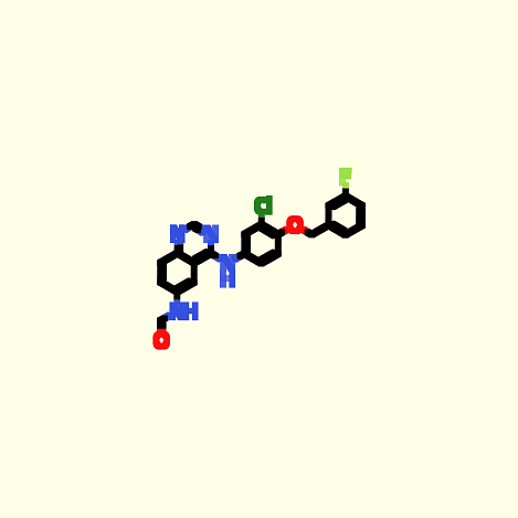 O=CNc1ccc2ncnc(Nc3ccc(OCc4cccc(F)c4)c(Cl)c3)c2c1